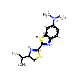 CC(C)C1CSC(c2nc3ccc(N(C)C)cc3s2)=N1